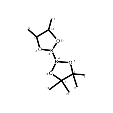 CC1OB(B2OC(C)(C)C(C)(C)O2)OC1C